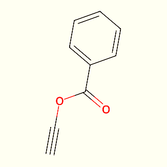 C#COC(=O)c1ccccc1